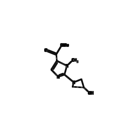 COC(=O)c1cnc(N2CC(O)C2)n1C